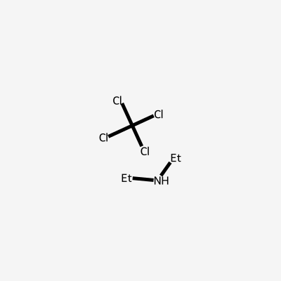 CCNCC.ClC(Cl)(Cl)Cl